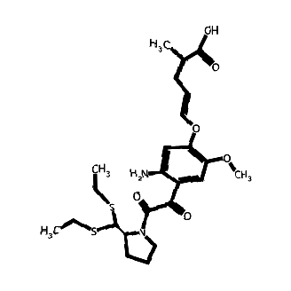 CCSC(SCC)[C@@H]1CCCN1C(=O)C(=O)c1cc(OC)c(OC=CCC(C)C(=O)O)cc1N